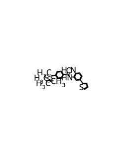 C[C](c1ccc(C(=O)Nc2cc(-c3cccs3)ccc2N)cc1)[Si](C)(C)C